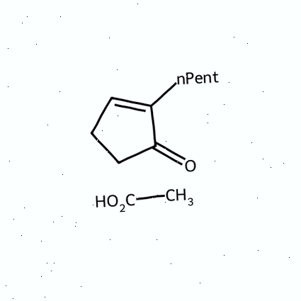 CC(=O)O.CCCCCC1=CCCC1=O